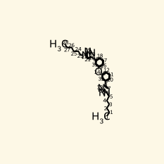 CCCCCCn1cc(-c2cccc(Oc3cccc(-c4cn(CCCCCC)nn4)c3)c2)nn1